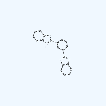 c1cc(-c2nc3ccccc3[nH]2)cc(-c2nc3ccccc3[nH]2)c1